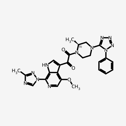 COc1cnc(-n2cnc(C)n2)c2[nH]cc(C(=O)C(=O)N3CCN(c4nnnn4-c4ccccc4)C[C@@H]3C)c12